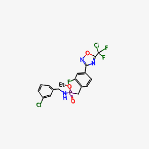 CCOP(=O)(Cc1ccc(-c2noc(C(F)(F)Cl)n2)cc1F)NCc1cccc(Cl)c1